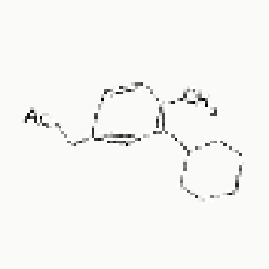 CC(=O)Cc1ccc(C)c(C2CCCCC2)c1